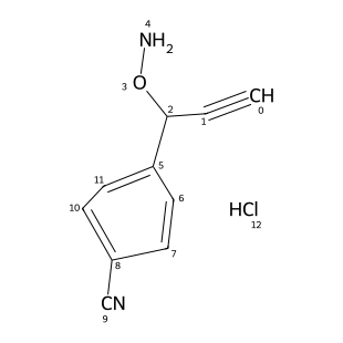 C#CC(ON)c1ccc(C#N)cc1.Cl